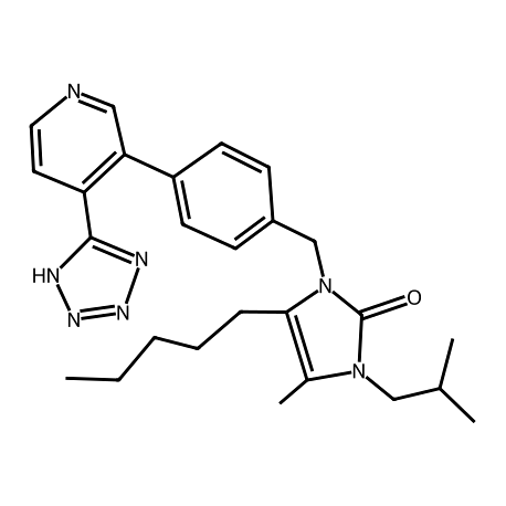 CCCCCc1c(C)n(CC(C)C)c(=O)n1Cc1ccc(-c2cnccc2-c2nnn[nH]2)cc1